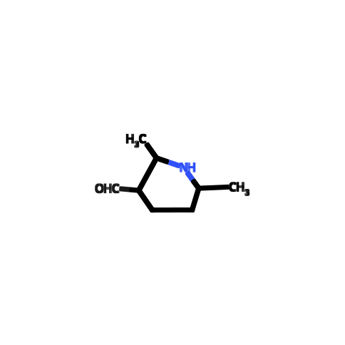 CC1CCC(C=O)C(C)N1